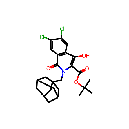 CC(C)(C)OC(=O)c1c(O)c2cc(Cl)c(Cl)cc2c(=O)n1CC12CC3CC(CC(C3)C1)C2